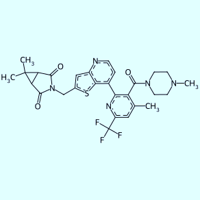 Cc1cc(C(F)(F)F)nc(-c2ccnc3cc(CN4C(=O)C5C(C4=O)C5(C)C)sc23)c1C(=O)N1CCN(C)CC1